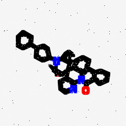 O=c1c2ccccc2c2cccc3c2n1-c1ncccc1C31c2ccccc2N(c2ccc(-c3ccccc3)cc2)c2ccccc21